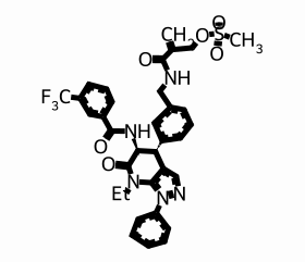 C=C(COS(C)(=O)=O)C(=O)NCc1cccc([C@@H]2c3cnn(-c4ccccc4)c3N(CC)C(=O)[C@H]2NC(=O)c2cccc(C(F)(F)F)c2)c1